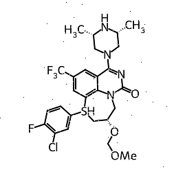 COCO[C@H]1Cn2c(=O)nc(N3C[C@@H](C)N[C@@H](C)C3)c3cc(C(F)(F)F)cc(c32)[SH](c2ccc(F)c(Cl)c2)C1